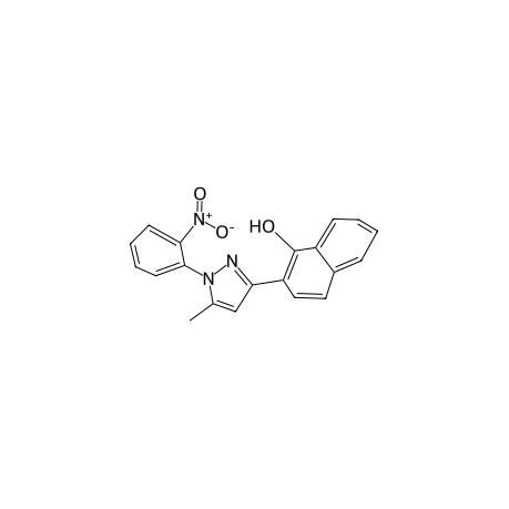 Cc1cc(-c2ccc3ccccc3c2O)nn1-c1ccccc1[N+](=O)[O-]